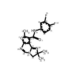 Cc1oc2c(c1C(=O)Nc1ccc(F)c(F)c1)C1=NC(C)(C)CN1C=N2